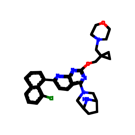 Clc1cccc2cccc(-c3ccc4c(N5CC6CCC(C5)N6)nc(OCC5(CN6CCOCC6)CC5)nc4n3)c12